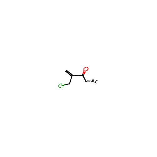 C=C(CCl)C(=O)CC(C)=O